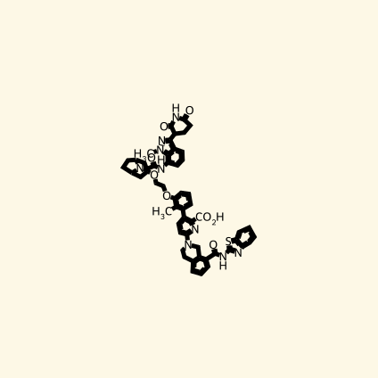 Cc1c(OCCOC2CC3CCC(C2)N3CC(=O)Nc2cccc3c(C4CCC(=O)NC4=O)nn(C)c23)cccc1-c1ccc(N2CCc3cccc(C(=O)Nc4nc5ccccc5s4)c3C2)nc1C(=O)O